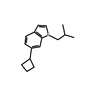 CC(C)Cn1ccc2ccc(C3CCC3)cc21